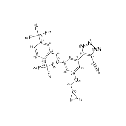 N#Cc1[nH]nnc1-c1cc(OCc2cc(C(F)(F)F)ccc2C(F)(F)F)cc(OCC2CC2)c1